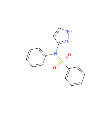 O=S(=O)(c1ccccc1)N(c1ccccc1)c1cc[nH]n1